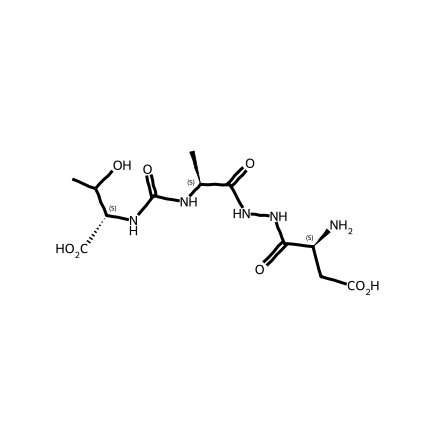 CC(O)[C@H](NC(=O)N[C@@H](C)C(=O)NNC(=O)[C@@H](N)CC(=O)O)C(=O)O